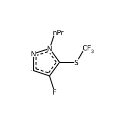 CCCn1n[c]c(F)c1SC(F)(F)F